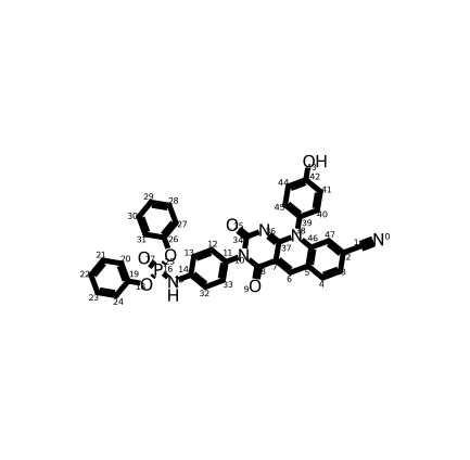 N#Cc1ccc2cc3c(=O)n(-c4ccc(NP(=O)(Oc5ccccc5)Oc5ccccc5)cc4)c(=O)nc-3n(-c3ccc(O)cc3)c2c1